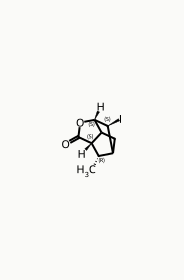 C[C@H]1C2CC3[C@H]1C(=O)O[C@@H]3[C@H]2I